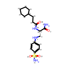 NC(=O)[C@H](CNc1ccc(S(N)(=O)=O)cc1)NC(=O)[CH]CC1CCCCC1